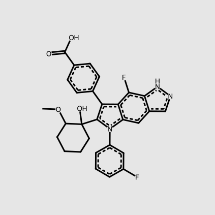 COC1CCCCC1(O)c1c(-c2ccc(C(=O)O)cc2)c2c(F)c3[nH]ncc3cc2n1-c1cccc(F)c1